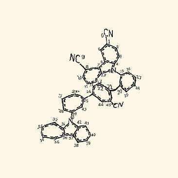 N#Cc1ccc2c(c1)c1c(C#N)cccc1n2-c1ccccc1-c1ccc(-c2cccc(-n3c4ccccc4c4ccccc43)c2)cc1C#N